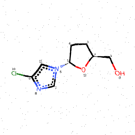 OC[C@@H]1CC[C@@H](n2cnc(Cl)c2)O1